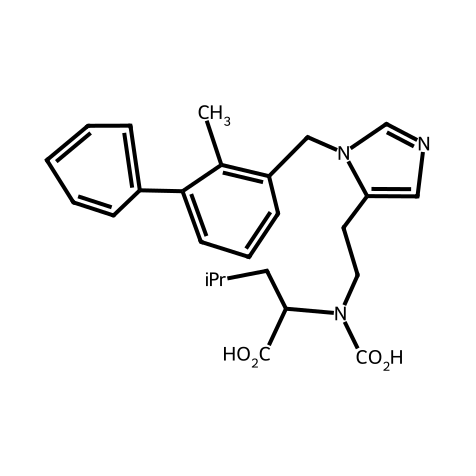 Cc1c(Cn2cncc2CCN(C(=O)O)C(CC(C)C)C(=O)O)cccc1-c1ccccc1